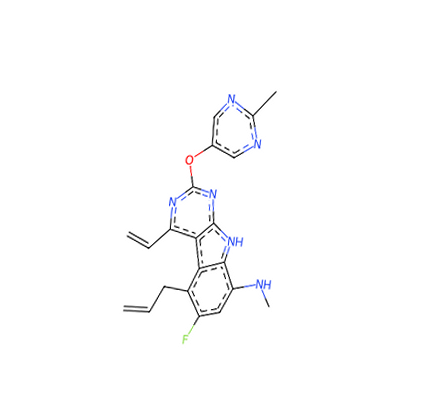 C=CCc1c(F)cc(NC)c2[nH]c3nc(Oc4cnc(C)nc4)nc(C=C)c3c12